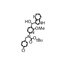 COc1nc(N(Cc2ccc(Cl)cc2)C(=O)OC(C)(C)C)ccc1C(O)c1c[nH]c2cccnc12